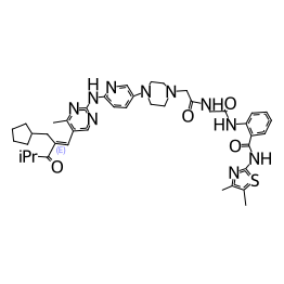 Cc1nc(Nc2ccc(N3CCN(CC(=O)NCC(=O)Nc4ccccc4C(=O)Nc4nc(C)c(C)s4)CC3)cn2)ncc1/C=C(\CC1CCCC1)C(=O)C(C)C